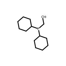 [CH]CP(C1CCCCC1)C1CCCCC1